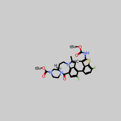 Cc1cc2c(-c3ccc(F)c4sc(NC(=O)OC(C)(C)C)c(C#N)c34)c(F)cc3c2n1CC[C@H]1CN(C(=O)OC(C)(C)C)CCN1C3=O